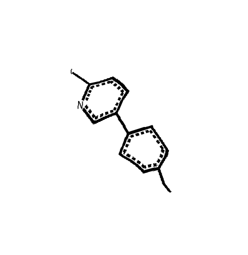 Cc1ccc(-c2ccc(I)nc2)cc1